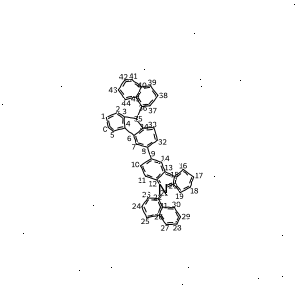 c1ccc2c(c1)-c1cc(-c3ccc4c(c3)c3ccccc3n4-c3cccc4ccccc34)ccc1C2c1cccc2ccccc12